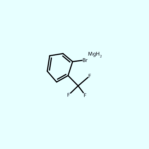 FC(F)(F)c1ccccc1Br.[MgH2]